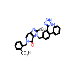 CCCCc1nc2ccn(Cc3ccccc3C(=O)O)c(=O)c2n1Cc1ccc(-c2ccccc2)c(-c2nnn[nH]2)c1